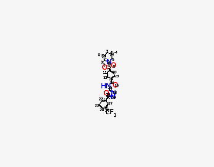 C[C@@H]1C[C@H](C)CN(S(=O)(=O)c2ccc(C(=O)Nc3nnc(-c4cccc(C(F)(F)F)c4)o3)cc2)C1